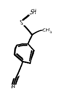 CC(SS)c1ccc(C#N)cc1